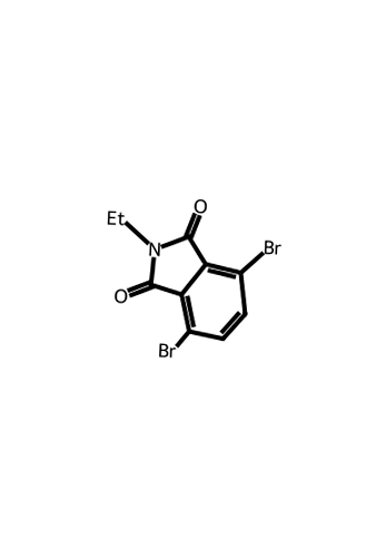 CCN1C(=O)c2c(Br)ccc(Br)c2C1=O